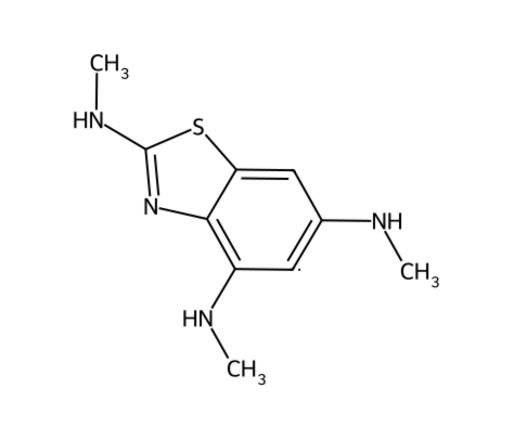 CNc1[c]c(NC)c2nc(NC)sc2c1